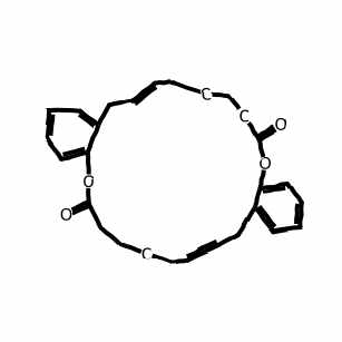 O=C1CCCC/C=C/Cc2ccccc2OC(=O)CCCC/C=C\Cc2ccccc2O1